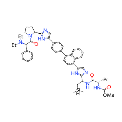 CCN(CC)[C@@H](C(=O)N1CCC[C@H]1c1ncc(-c2ccc(-c3ccc(-c4cnc(C(C[SiH](C)C)NC(=O)[C@@H](NC(=O)OC)C(C)C)[nH]4)c4ccccc34)cc2)[nH]1)c1ccccc1